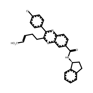 O=C(O)/C=C/CCc1nc2cc(C(=O)N[C@H]3CCc4ccccc43)ccc2nc1-c1ccc(Cl)cc1